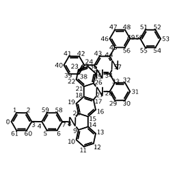 c1ccc(-c2ccc(-n3c4ccccc4c4cc5c(cc43)c3ccccc3n5-c3ccccc3-c3nc(-c4ccccc4)cc(-c4cccc(-c5ccccc5)c4)n3)cc2)cc1